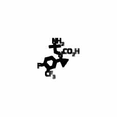 CC(C)(N)CN(C(=O)O)C1(c2ccc(F)c(C(F)(F)F)c2)CC1